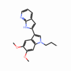 [CH2]CCn1cc(-c2cc3cccnc3[nH]2)c2cc(OC)c(OC)cc21